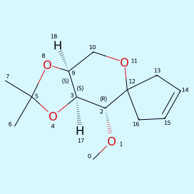 CO[C@@H]1[C@H]2OC(C)(C)O[C@H]2COC12CC=CC2